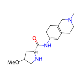 COC1CN[C@@H](C(=O)NC2=CC3=C(CC2)CN(C)CC3)C1